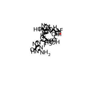 Nc1nc2c(ncn2[C@@H]2O[C@@H]3COP(O)(=S)O[C@H]4[C@H](n5cnc6c(O)ncnc65)O[C@H](COP(O)(=S)O[C@H]3[C@H]2F)[C@@]42CC2(F)F)c(=O)[nH]1